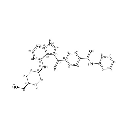 O=C(Nc1ccccn1)c1ccc(C(=O)c2c[nH]c3ncnc(N[C@@H]4CC[C@H](CO)OC4)c23)cc1